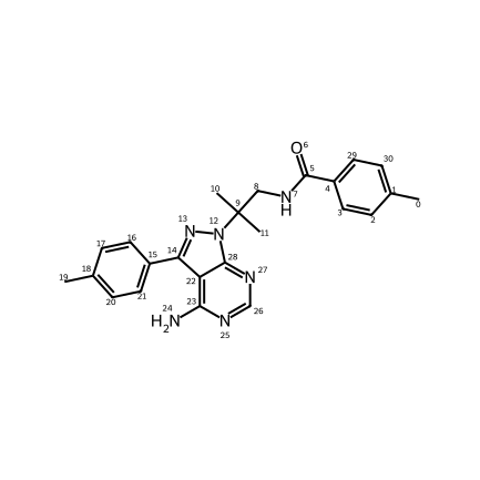 Cc1ccc(C(=O)NCC(C)(C)n2nc(-c3ccc(C)cc3)c3c(N)ncnc32)cc1